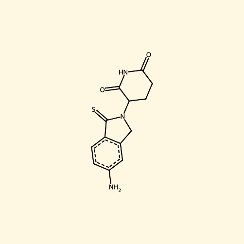 Nc1ccc2c(c1)CN(C1CCC(=O)NC1=O)C2=S